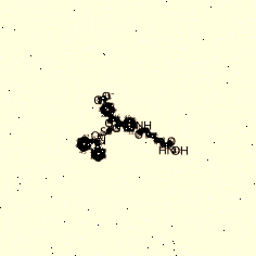 O=C(CCCCCCC(=O)Nc1ccc(C2CC(c3ccc([N+](=O)[O-])cc3)OC(CSc3nc(-c4ccccc4)c(-c4ccccc4)o3)O2)cc1)NO